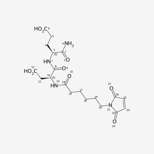 NC(=O)[C@H](CCC(=O)O)NC(=O)[C@H](CC(=O)O)NC(=O)CCCCCN1C(=O)C=CC1=O